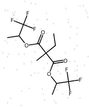 CCC(C)(C(=O)OC(C)C(F)(F)F)C(=O)OC(C)C(F)(F)F